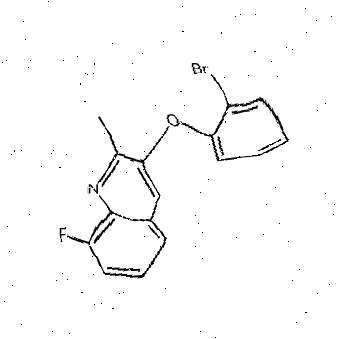 Cc1nc2c(F)cccc2cc1Oc1ccccc1Br